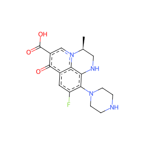 C[C@H]1CNc2c(N3CCNCC3)c(F)cc3c(=O)c(C(=O)O)cn1c23